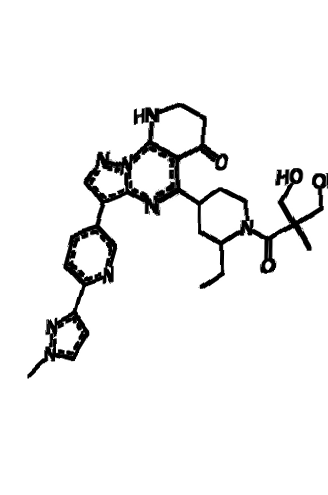 CCC1CC(c2nc3c(-c4ccc(-c5ccn(C)n5)nc4)cnn3c3c2C(=O)CCN3)CCN1C(=O)C(C)(CO)CO